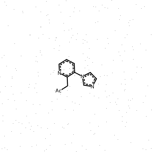 CC(=O)Cc1ncccc1-n1ccnc1